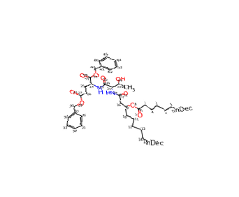 CCCCCCCCCCCCCCCC(=O)OC(CCCCCCCCCCCCCCC)CC(=O)N[C@H](C(=O)N[C@@H](CCC(=O)OCc1ccccc1)C(=O)OCc1ccccc1)C(C)O